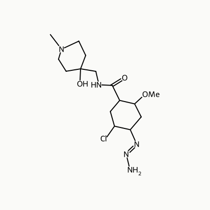 COC1CC(N=NN)C(Cl)CC1C(=O)NCC1(O)CCN(C)CC1